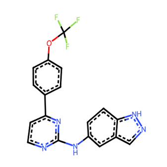 FC(F)(F)Oc1ccc(-c2ccnc(Nc3ccc4[nH]ncc4c3)n2)cc1